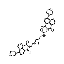 O=C(CN1C(=O)c2cccc3c(N4CCOCC4)ccc(c23)C1=O)NCCCNCCN1C(=O)c2cccc3c(N4CCOCC4)ccc(c23)C1=O